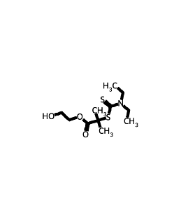 CCN(CC)C(=S)SC(C)(C)C(=O)OCCO